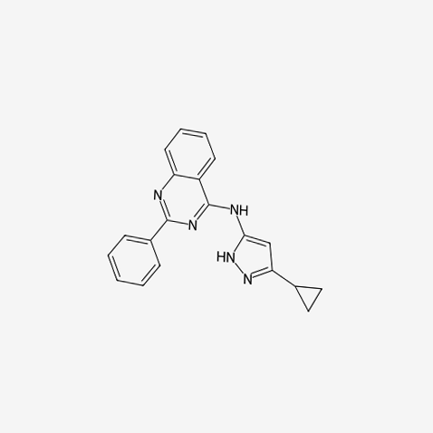 c1ccc(-c2nc(Nc3cc(C4CC4)n[nH]3)c3ccccc3n2)cc1